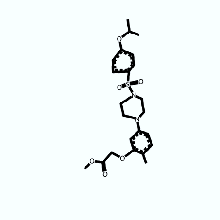 COC(=O)COc1cc(N2CCN(S(=O)(=O)c3ccc(OC(C)C)cc3)CC2)ccc1C